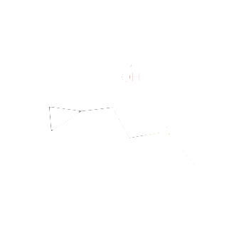 CSC[C@@H](O)C1CC1